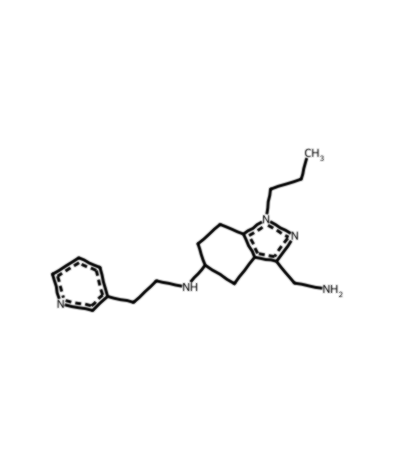 CCCn1nc(CN)c2c1CCC(NCCc1cccnc1)C2